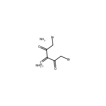 C=C(C(=O)CBr)C(=O)CBr.N.N